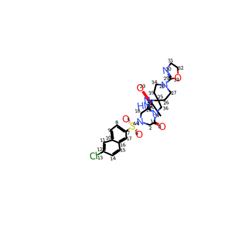 O=C1CN(S(=O)(=O)c2ccc3cc(Cl)ccc3c2)CC23CNC(=O)N2C2(CCN(C4=NCCO4)CC2)CN13